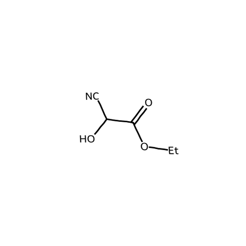 CCOC(=O)C(O)C#N